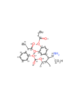 CCC(C)CC(=O)Oc1ccc(C(C(C)C(C)OC(=O)Oc2ccccc2)[C@H](N)C(=O)O)cc1OC(=O)CC(C)CC